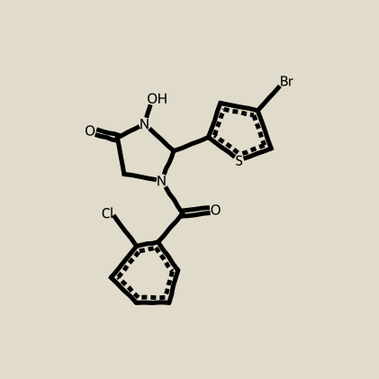 O=C1CN(C(=O)c2ccccc2Cl)C(c2cc(Br)cs2)N1O